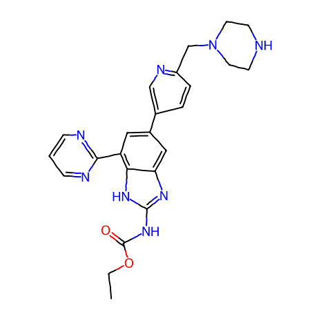 CCOC(=O)Nc1nc2cc(-c3ccc(CN4CCNCC4)nc3)cc(-c3ncccn3)c2[nH]1